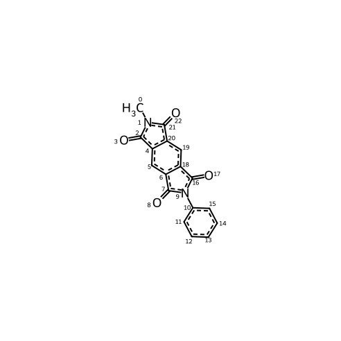 Cn1c(=O)c2cc3c(=O)n(-c4ccccc4)c(=O)c3cc2c1=O